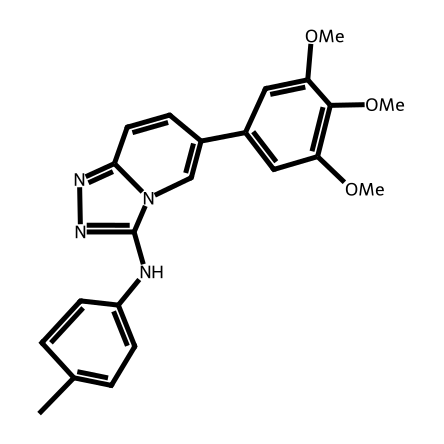 COc1cc(-c2ccc3nnc(Nc4ccc(C)cc4)n3c2)cc(OC)c1OC